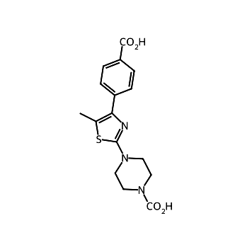 Cc1sc(N2CCN(C(=O)O)CC2)nc1-c1ccc(C(=O)O)cc1